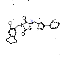 O=C1S/C(=C\c2cc(-c3ccccc3)cs2)C(=O)N1Cc1cc2c(cc1Cl)OCO2